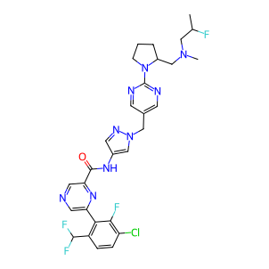 CC(F)CN(C)CC1CCCN1c1ncc(Cn2cc(NC(=O)c3cncc(-c4c(C(F)F)ccc(Cl)c4F)n3)cn2)cn1